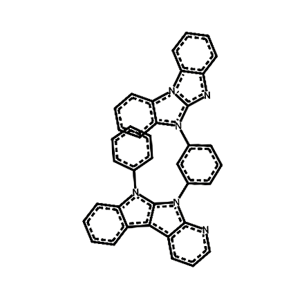 c1ccc(-n2c3ccccc3c3c4cccnc4n(-c4cccc(-n5c6ccccc6n6c7ccccc7nc56)c4)c32)cc1